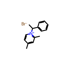 Cc1cc[n+](C(C)c2ccccc2)c(C)c1.[Br-]